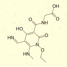 CCOn1c(NC)c(C=N)c(O)c(C(=O)NCC(=O)O)c1=O